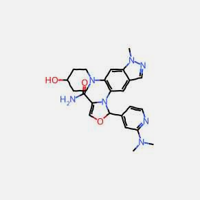 CN(C)c1cc(C2OC=C(C(N)=O)N2c2cc3cnn(C)c3cc2N2CCC(O)CC2)ccn1